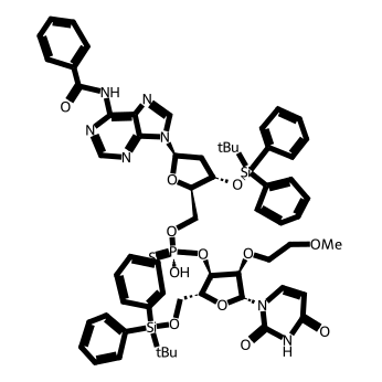 COCCO[C@@H]1[C@H](O[P@@](O)(=S)OC[C@H]2O[C@@H](n3cnc4c(NC(=O)c5ccccc5)ncnc43)C[C@@H]2O[Si](c2ccccc2)(c2ccccc2)C(C)(C)C)[C@@H](CO[Si](c2ccccc2)(c2ccccc2)C(C)(C)C)O[C@H]1n1ccc(=O)[nH]c1=O